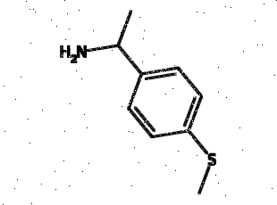 CSc1ccc(C(C)N)cc1